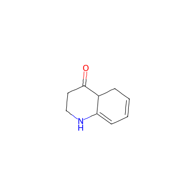 O=C1CCNC2=CC=CCC12